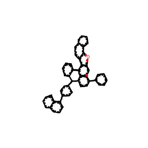 c1ccc(-c2ccc(C(c3ccc(-c4cccc5ccccc45)cc3)c3ccccc3-c3cccc4oc5c6ccccc6ccc5c34)cc2)cc1